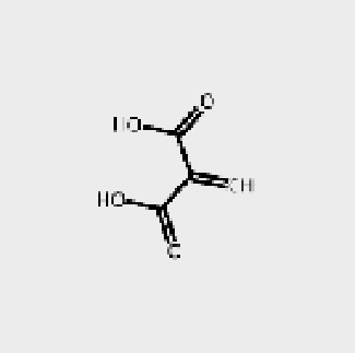 [CH]=C(C(=O)O)C(=O)O